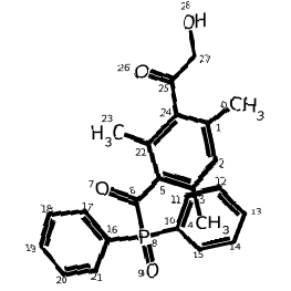 Cc1cc(C)c(C(=O)P(=O)(c2ccccc2)c2ccccc2)c(C)c1C(=O)CO